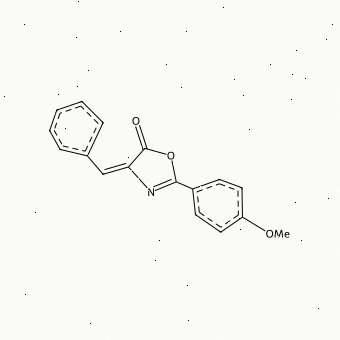 COc1ccc(C2=NC(=Cc3ccccc3)C(=O)O2)cc1